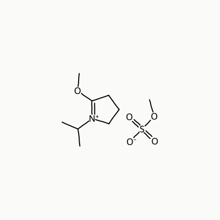 COC1=[N+](C(C)C)CCC1.COS(=O)(=O)[O-]